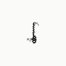 CCCCCCCCCCCCc1ccc2nc3c(c(N)c2c1)CCCC3